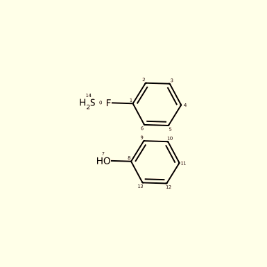 Fc1ccccc1.Oc1ccccc1.S